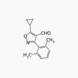 Cc1cccc(C)c1-c1noc(C2CC2)c1C=O